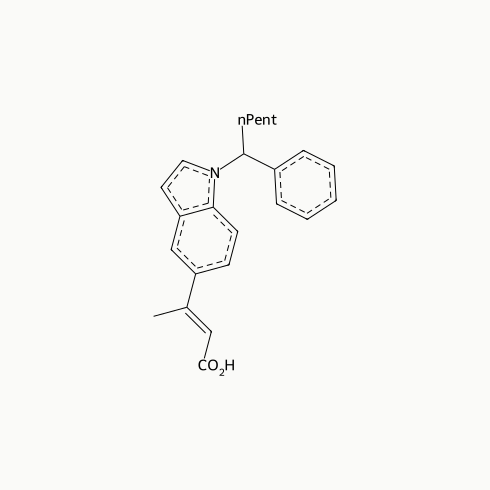 CCCCCC(c1ccccc1)n1ccc2cc(C(C)=CC(=O)O)ccc21